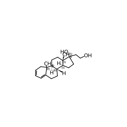 C[C@]12CC=CC=C1CC[C@@H]1[C@@H]2CC[C@@]2(C)[C@H]1CC[C@]2(O)CCO